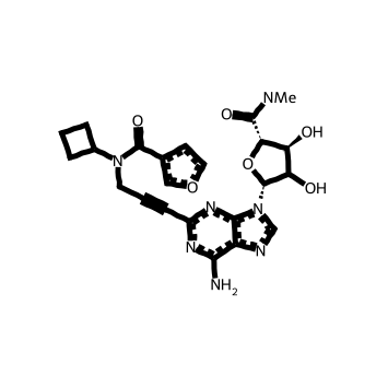 CNC(=O)[C@H]1O[C@@H](n2cnc3c(N)nc(C#CCN(C(=O)c4ccoc4)C4CCC4)nc32)C(O)[C@@H]1O